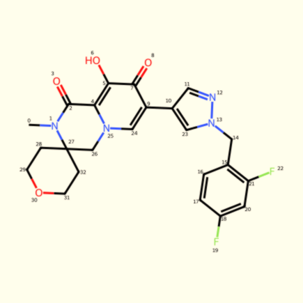 CN1C(=O)c2c(O)c(=O)c(-c3cnn(Cc4ccc(F)cc4F)c3)cn2CC12CCOCC2